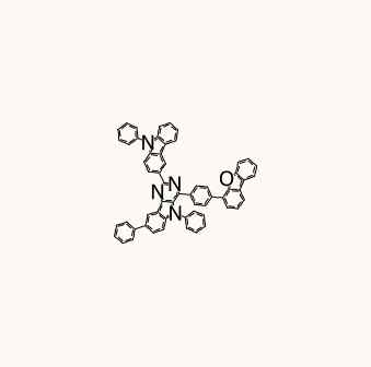 c1ccc(-c2ccc3c(c2)c2nc(-c4ccc5c(c4)c4ccccc4n5-c4ccccc4)nc(-c4ccc(-c5cccc6c5oc5ccccc56)cc4)c2n3-c2ccccc2)cc1